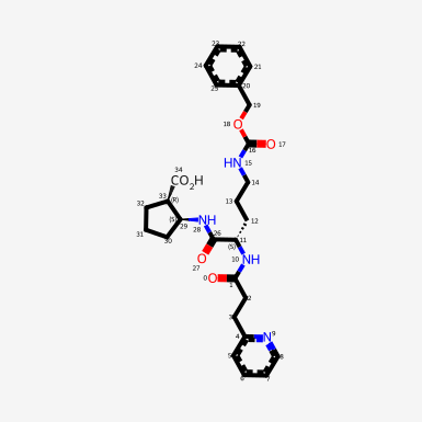 O=C(CCc1ccccn1)N[C@@H](CCCNC(=O)OCc1ccccc1)C(=O)N[C@H]1CCC[C@H]1C(=O)O